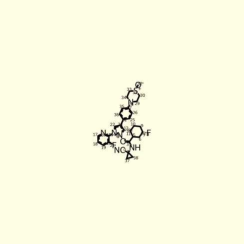 N#CC1(NC(=O)C2C[C@@H](F)CC[C@H]2c2nn(-c3ncccc3F)cc2-c2ccc(N3CC[S+]([O-])CC3)cc2)CC1